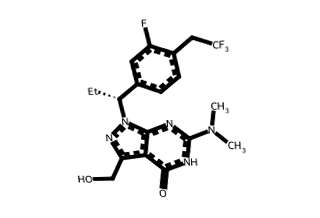 CC[C@H](c1ccc(CC(F)(F)F)c(F)c1)n1nc(CO)c2c(=O)[nH]c(N(C)C)nc21